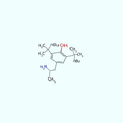 CCCCC(C)(C)c1cc(CC(C)N)cc(C(C)(C)CCCC)c1O